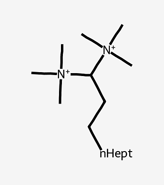 CCCCCCCCCC([N+](C)(C)C)[N+](C)(C)C